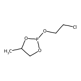 CC1COP(OCCCl)O1